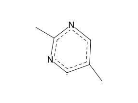 Cc1[c]nc(C)nc1